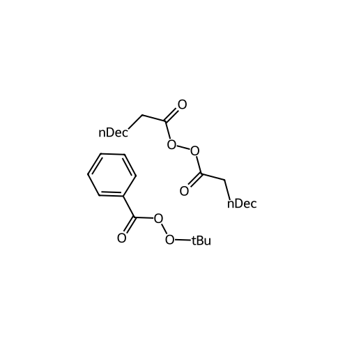 CC(C)(C)OOC(=O)c1ccccc1.CCCCCCCCCCCC(=O)OOC(=O)CCCCCCCCCCC